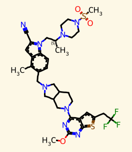 COc1nc(N2CCC3CN(Cc4ccc5c(cc(C#N)n5C[C@H](C)N5CCN(S(C)(=O)=O)CC5)c4C)CC3C2)c2cc(CC(F)(F)F)sc2n1